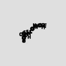 COc1ccc(N2C(=O)CS/C2=N\C(=S)NC(C)Cc2ccc(-c3ncn(-c4ccc(OC(F)(F)F)cc4)n3)cc2)c(C)c1